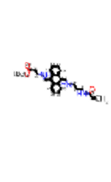 C=CC(=O)NCCCNCc1c2ccccc2c(CNCCC(=O)OC(C)(C)C)c2ccccc12